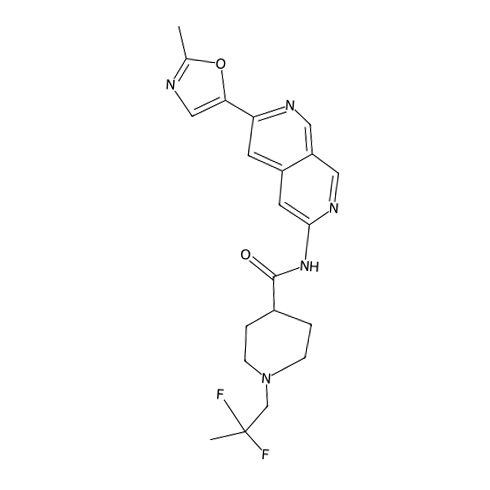 Cc1ncc(-c2cc3cc(NC(=O)C4CCN(CC(C)(F)F)CC4)ncc3cn2)o1